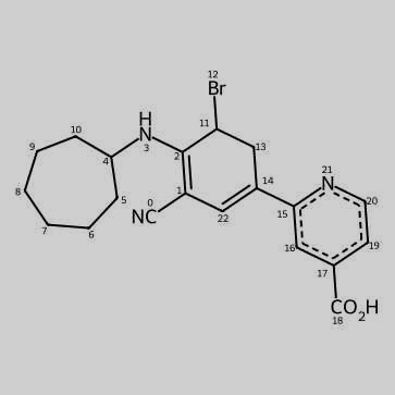 N#CC1=C(NC2CCCCCC2)C(Br)CC(c2cc(C(=O)O)ccn2)=C1